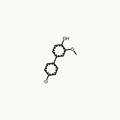 COc1cc(-c2ccc([O])cc2)ccc1O